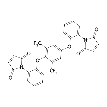 O=C1C=CC(=O)N1c1ccccc1Oc1cc(C(F)(F)F)c(Oc2ccccc2N2C(=O)C=CC2=O)c(C(F)(F)F)c1